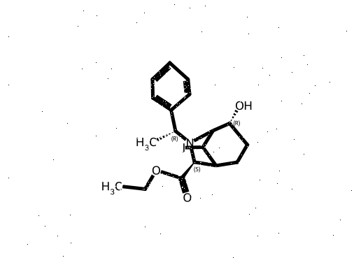 CCOC(=O)[C@@H]1C2CC[C@@H](O)C(C2I)N1[C@H](C)c1ccccc1